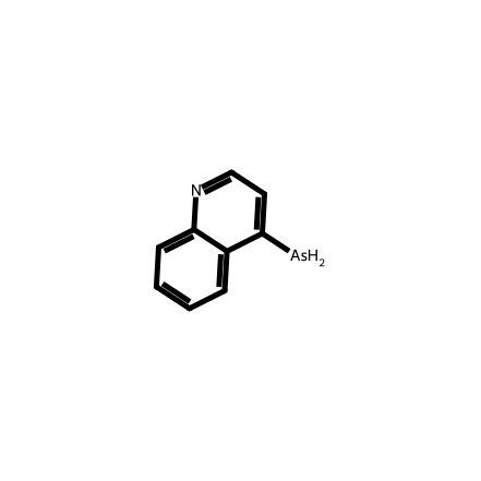 [AsH2]c1ccnc2ccccc12